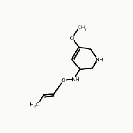 CC=CONC1C=C(OC)CNC1